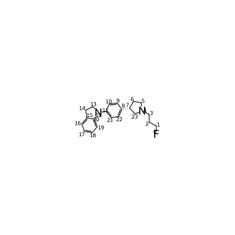 FCCCN1CC[C@@H](c2ccc(N3CCc4ccccc43)cc2)C1